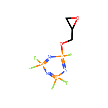 FP1(F)=NP(F)(F)=NP(F)(OCC2CO2)=N1